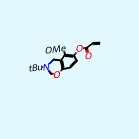 C=CC(=O)Oc1ccc2c(c1OC)CN(C(C)(C)C)CO2